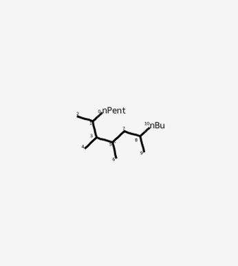 CCCCCC(C)C(C)[C](C)CC(C)CCCC